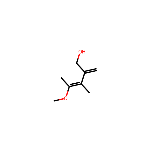 C=C(CO)/C(C)=C(\C)OC